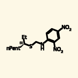 CCCCC[C@H](CC)SCNc1ccc([N+](=O)[O-])cc1[N+](=O)[O-]